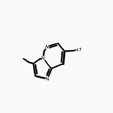 Cc1cnc2cc(Cl)cnn12